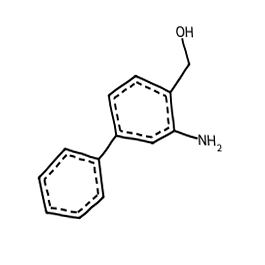 Nc1cc(-c2ccccc2)ccc1CO